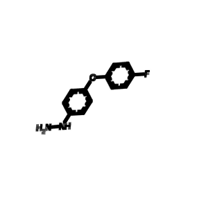 NNc1ccc(Oc2ccc(F)cc2)cc1